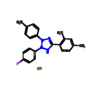 Br.O=[N+]([O-])c1ccc(N2N=C(c3ccc([N+](=O)[O-])cc3[N+](=O)[O-])NN2c2ccc(I)cc2)cc1